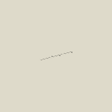 CCNCCCCCCNC(=O)CCCCC(=O)CNCCCCCC(=O)CC